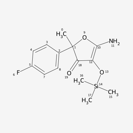 CC1(c2ccc(F)cc2)OC(N)=C(O[Si](C)(C)C)C1=O